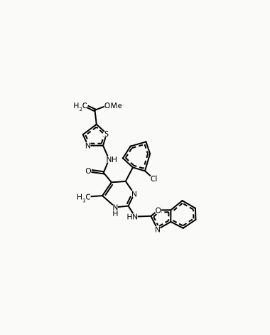 C=C(OC)c1cnc(NC(=O)C2=C(C)NC(Nc3nc4ccccc4o3)=NC2c2ccccc2Cl)s1